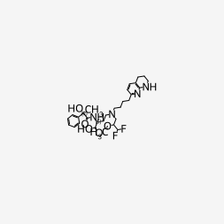 COC(CN(CCCCc1ccc2c(n1)NCCC2)CC[C@H](NC(=O)[C@](C)(O)c1ccccc1)C(=O)O)C(F)F